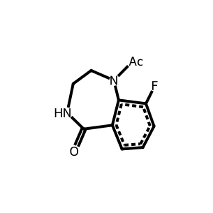 CC(=O)N1CCNC(=O)c2cccc(F)c21